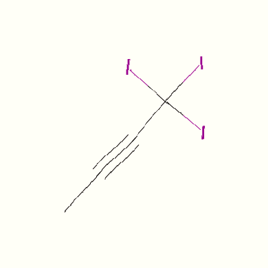 CC#CC(I)(I)I